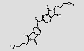 CCCCN1C(=O)c2ccc(C(=O)c3ccc4c(c3)C(=O)N(CCCC)C4=O)cc2C1=O